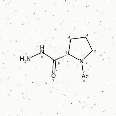 CC(=O)N1CCC[C@H]1C(=O)NN